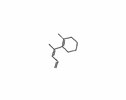 C=C/C=C(/C)C1=C(C)CCCC1